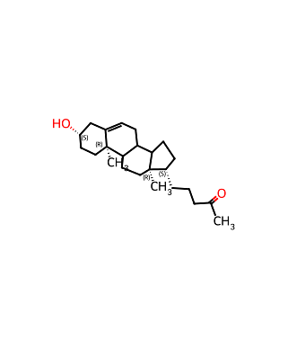 CC(=O)CCC[C@H]1CCC2C3CC=C4C[C@@H](O)CC[C@]4(C)C3CC[C@@]21C